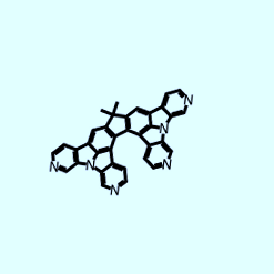 CC1(C)c2cc3c4ccncc4n4c5cnccc5c(c2-c2c1cc1c5ccncc5n5c6cnccc6c2c15)c34